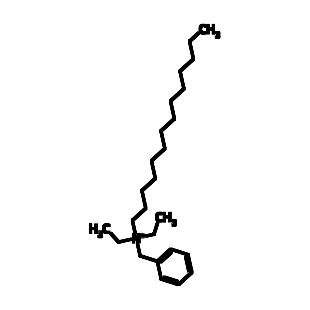 CCCCCCCCCCCCCC[N+](CC)(CC)Cc1ccccc1